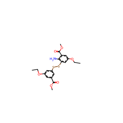 CCOc1cc(SSc2cc(OCC)cc(C(=O)OC)c2N)cc(C(=O)OC)c1